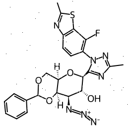 Cc1nc([C@@H]2O[C@@H]3COC(c4ccccc4)O[C@@H]3[C@H](N=[N+]=[N-])[C@H]2O)n(-c2ccc3nc(C)sc3c2F)n1